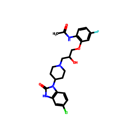 CC(=O)Nc1ccc(F)cc1OCC(O)CN1CCC(n2c(=O)[nH]c3cc(Cl)ccc32)CC1